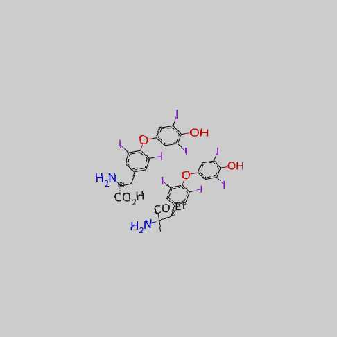 CCOC(=O)C(C)(N)Cc1cc(I)c(Oc2cc(I)c(O)c(I)c2)c(I)c1.N[C@H](Cc1cc(I)c(Oc2cc(I)c(O)c(I)c2)c(I)c1)C(=O)O